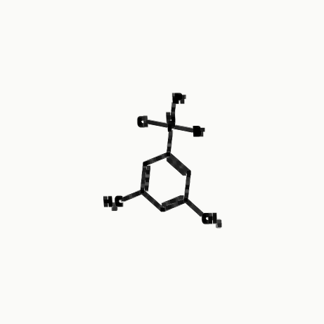 Cc1cc(C)cc([PH](Cl)(Br)C(C)C)c1